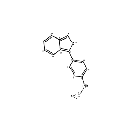 O=C(O)Nc1ccc(-c2occ3ccccc23)cc1